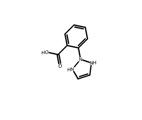 O=C(O)c1ccccc1N1NC=CN1